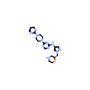 c1cnc(N2CCN(c3ncnc(Nc4cnn(C[C@@H]5CNCCO5)c4)n3)CC2)nc1